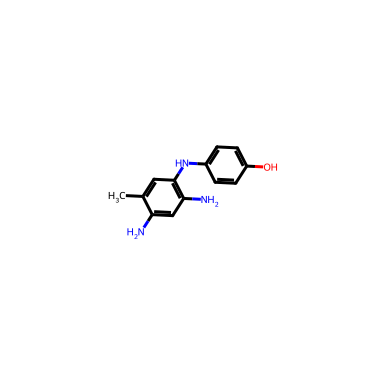 Cc1cc(Nc2ccc(O)cc2)c(N)cc1N